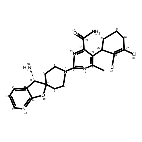 Cc1nc(N2CCC3(CC2)Oc2ncccc2[C@@H]3N)nc(C(N)=O)c1C1CCCC(Cl)=C1Cl